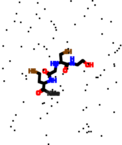 CNC(=O)C(CCS)NC(=O)CNC(CS)C(=O)NCCO